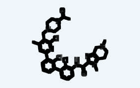 CC(=O)N1CCN(Cc2c(C)cc(-c3cccc(-c4cccc(NC(=O)c5nc6c(n5C)CCN(C)C6)c4Cl)c3Cl)nc2Cl)CC1